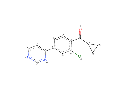 O=C(c1ccc(-c2ccncn2)cc1Cl)C1CC1